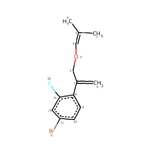 C=C(COC=C(C)C)c1ccc(Br)cc1F